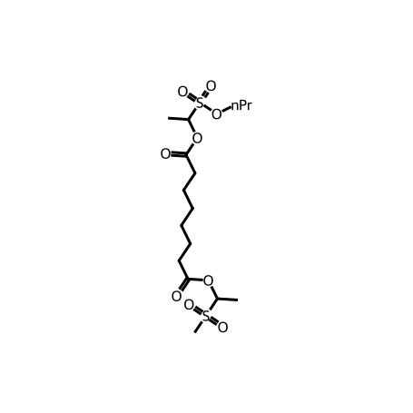 CCCOS(=O)(=O)C(C)OC(=O)CCCCCCC(=O)OC(C)S(C)(=O)=O